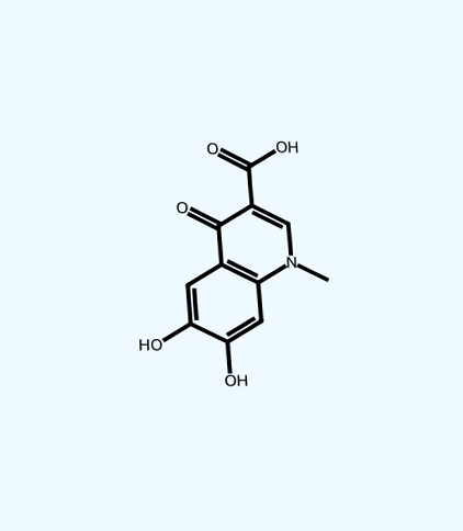 Cn1cc(C(=O)O)c(=O)c2cc(O)c(O)cc21